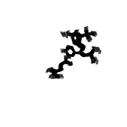 CC(C)CN(Cc1cn(C)nc1C(F)(F)F)C1CCNCC1.O=C(O)C=CC(=O)O